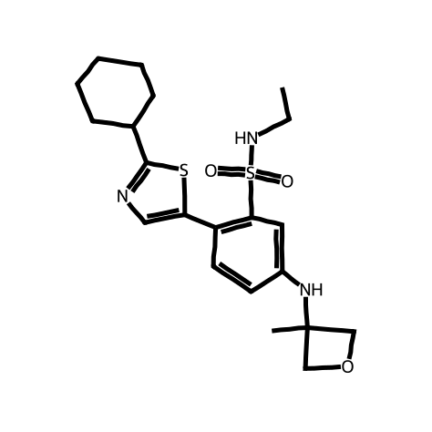 CCNS(=O)(=O)c1cc(NC2(C)COC2)ccc1-c1cnc(C2CCCCC2)s1